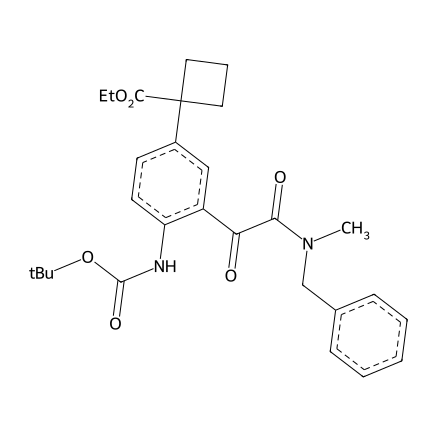 CCOC(=O)C1(c2ccc(NC(=O)OC(C)(C)C)c(C(=O)C(=O)N(C)Cc3ccccc3)c2)CCC1